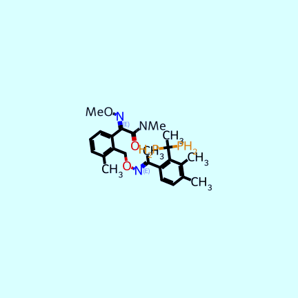 CNC(=O)/C(=N/OC)c1cccc(C)c1CO/N=C(\C)c1ccc(C)c(C)c1C(C)(P)P